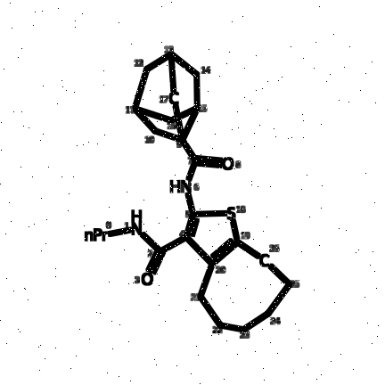 CCCNC(=O)c1c(NC(=O)C23CC4CC(CC2C4)C3)sc2c1CCCCCC2